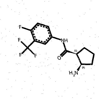 N[C@@H]1CCC[C@@H]1C(=O)Nc1ccc(F)c(C(F)(F)F)c1